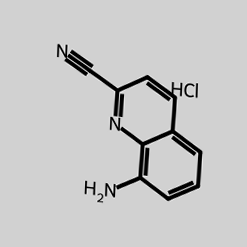 Cl.N#Cc1ccc2cccc(N)c2n1